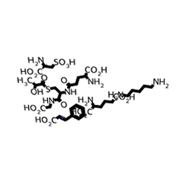 CC(O)C(=O)SCC(NC(=O)CCC(N)C(=O)O)C(=O)NCC(=O)O.NC(CCCC(=O)O)C(=O)O.NCCCCCN.N[C@@H](CS(=O)(=O)O)C(=O)O.O=C(O)/C=C/c1ccccc1